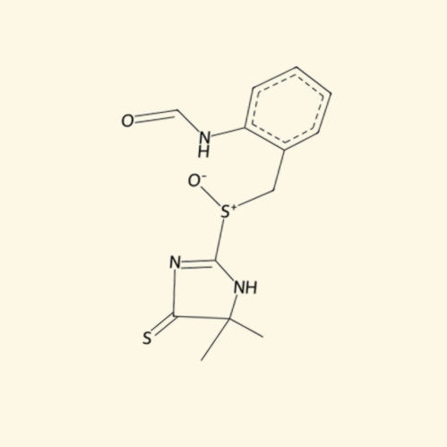 CC1(C)NC([S+]([O-])Cc2ccccc2NC=O)=NC1=S